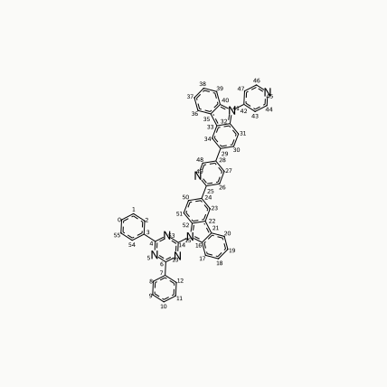 c1ccc(-c2nc(-c3ccccc3)nc(-n3c4ccccc4c4cc(-c5ccc(-c6ccc7c(c6)c6ccccc6n7-c6ccncc6)cn5)ccc43)n2)cc1